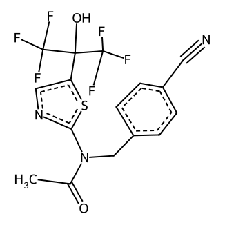 CC(=O)N(Cc1ccc(C#N)cc1)c1ncc(C(O)(C(F)(F)F)C(F)(F)F)s1